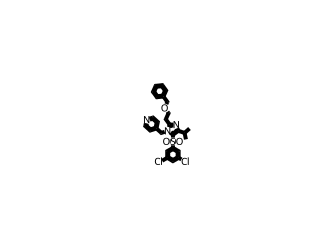 CC(C)c1nc(CCOCc2ccccc2)n(Cc2ccncc2)c1S(=O)(=O)c1cc(Cl)cc(Cl)c1